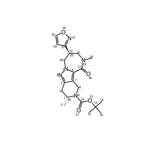 C[C@@H]1Cc2nn3c(c2CN1C(=O)OC(C)(C)C)C(=O)N(C)C[C@H](c1ccon1)C3